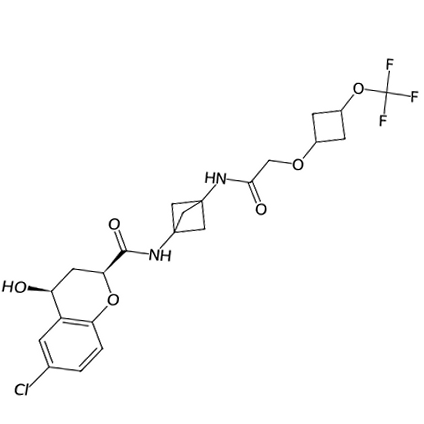 O=C(COC1CC(OC(F)(F)F)C1)NC12CC(NC(=O)[C@@H]3C[C@H](O)c4cc(Cl)ccc4O3)(C1)C2